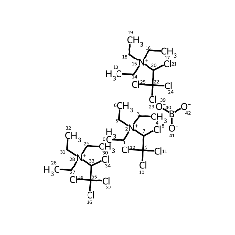 CC[N+](CC)(CC)C(Cl)C(Cl)(Cl)Cl.CC[N+](CC)(CC)C(Cl)C(Cl)(Cl)Cl.CC[N+](CC)(CC)C(Cl)C(Cl)(Cl)Cl.[O-]B([O-])[O-]